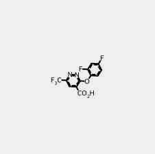 O=C(O)c1cc(C(F)(F)F)nnc1Oc1ccc(F)cc1F